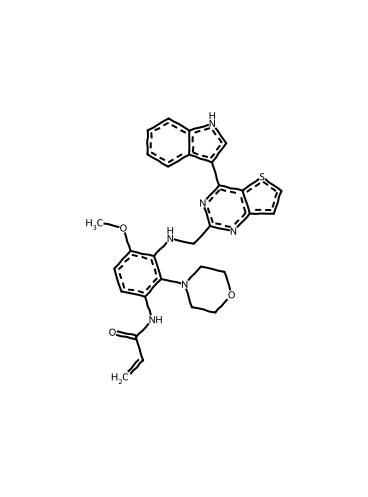 C=CC(=O)Nc1ccc(OC)c(NCc2nc(-c3c[nH]c4ccccc34)c3sccc3n2)c1N1CCOCC1